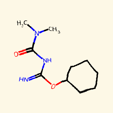 CN(C)C(=O)NC(=N)OC1CCCCC1